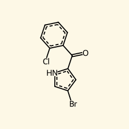 O=C(c1cc(Br)c[nH]1)c1ccccc1Cl